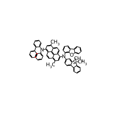 Cc1cc(N(c2ccccc2)c2ccccc2-c2ccccc2)c2ccc3c(C)cc(N(c4ccc5c(c4)[Si](C)(C)c4ccccc4-5)c4cccc5c4oc4ccccc45)c4ccc1c2c34